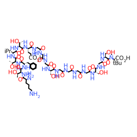 CC(C)[C@H](NC(=O)[C@@H](NC(=O)[C@H](Cc1ccccc1)NC(=O)[C@@H](NC(=O)[C@@H](N)CCCCN)[C@@H](C)O)[C@@H](C)O)C(=O)N[C@H](C(=O)N[C@@H](CCC(=O)O)C(=O)NCC(=O)NCC(=O)NCC(=O)N[C@@H](CO)C(=O)NCC(=O)NCC(=O)NCC(=O)NCC(=O)N[C@@H](CO)C(=O)NCC(=O)N[C@@H](CO)C(=O)N(C)[C@H](C(=O)O)C(C)(C)C)[C@@H](C)O